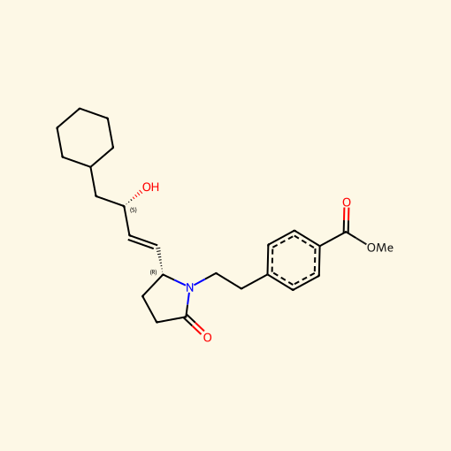 COC(=O)c1ccc(CCN2C(=O)CC[C@@H]2C=C[C@@H](O)CC2CCCCC2)cc1